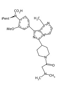 CCC[C@H](C)N(C(=O)O)c1ccc(-c2nc(C3CCN(C(=O)CN(C)C)CC3)n3ccnc(C)c23)cc1OC